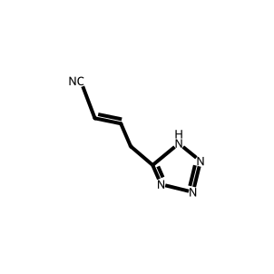 N#CC=CCc1nnn[nH]1